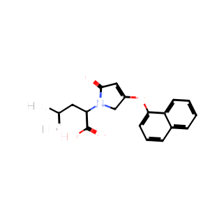 CC(C)CC(C(=O)O)N1CC(Oc2cccc3ccccc23)=CC1=O